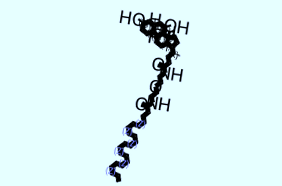 CC/C=C\C/C=C\C/C=C\C/C=C\C/C=C\C/C=C\CCC(=O)NCCOCCNC(=O)CC[C@@H](C)C1CC[C@H]2[C@@H]3[C@H](O)C[C@@H]4C[C@H](O)CC[C@]4(C)[C@H]3CC[C@]12C